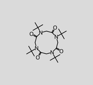 CC(C)(C)N1CC(=O)N(C(C)(C)C)CC(=O)N(C(C)(C)C)CC(=O)N(C(C)(C)C)CC1=O